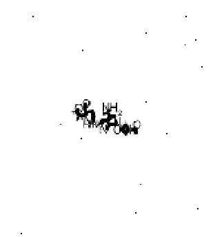 CC(=O)N1C[C@@H](Oc2ncc(C(C)(C)N)c3cc(Nc4ccc5c(n4)[C@@H](C)[C@H](C)OC5=O)ncc23)[C@@H]1C